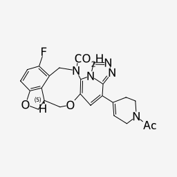 CC(=O)N1CC=C(c2cc3c(n4cnnc24)N(C(=O)O)Cc2c(F)ccc4c2[C@@H](CO4)CO3)CC1